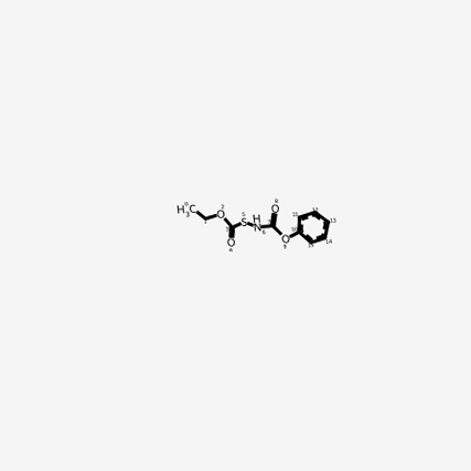 CCOC(=O)SNC(=O)Oc1ccccc1